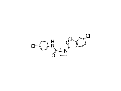 CC1(C(=O)Nc2ccc(Cl)cc2)CCN1C(=O)Cc1ccc(Cl)cc1Cl